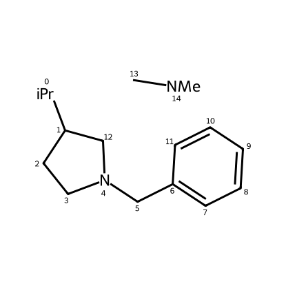 CC(C)C1CCN(Cc2ccccc2)C1.CNC